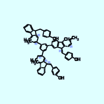 C=C/C=C\C1=C(C)c2ccc(-c3cc(C(/C=C4\C(=C)c5ccccc5C4Cc4ccc(O)cc4)=C/C)cc(C(/C=C4\C(=C)c5ccccc5\C4=C/c4ccc(O)cc4)=C/C)c3)cc2/C1=C/c1ccc(O)cc1